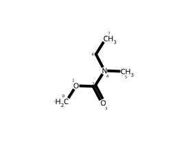 [CH2]OC(=O)N(C)CC